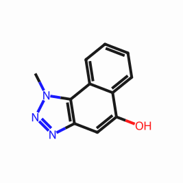 Cn1nnc2cc(O)c3ccccc3c21